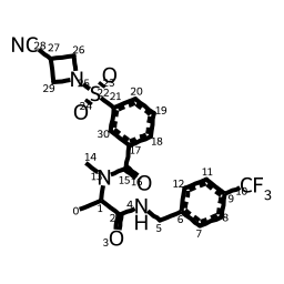 CC(C(=O)NCc1ccc(C(F)(F)F)cc1)N(C)C(=O)c1cccc(S(=O)(=O)N2CC(C#N)C2)c1